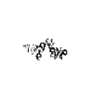 COc1cc(CC(=O)N(C)c2ccc(C(CC(=O)O)N(C)C(=O)C3CCOCC3)nc2)ccc1NC(=O)Nc1ccccc1C